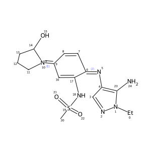 CCn1ncc(/N=C2C=C/C(=[N+]3/CCCC3O)C=C/2NS(C)(=O)=O)c1N